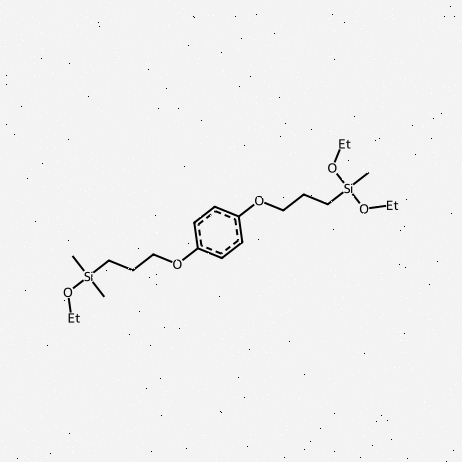 CCO[Si](C)(C)CCCOc1ccc(OCCC[Si](C)(OCC)OCC)cc1